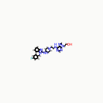 OCCn1cnc2c(NCCN3CCC(Nc4nc5ccccc5n4Cc4ccc(F)cc4)CC3)ncnc21